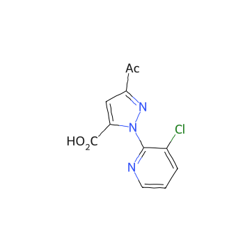 CC(=O)c1cc(C(=O)O)n(-c2ncccc2Cl)n1